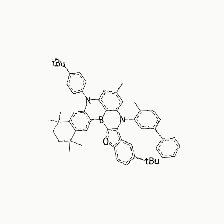 Cc1cc2c3c(c1)N(c1cc(-c4ccccc4)ccc1C)c1c(oc4ccc(C(C)(C)C)cc14)B3c1cc3c(cc1N2c1ccc(C(C)(C)C)cc1)C(C)(C)CCC3(C)C